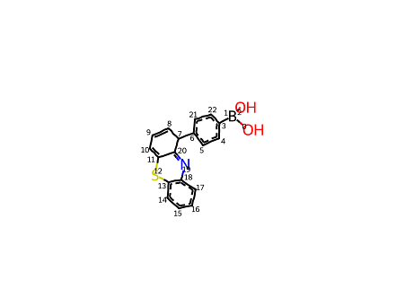 OB(O)c1ccc(C2C=CC=C3Sc4ccccc4N=C32)cc1